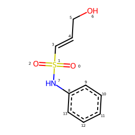 O=S(=O)(C=CCO)Nc1ccccc1